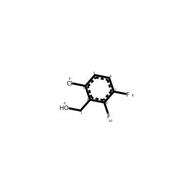 OCc1c(Cl)ccc(F)c1F